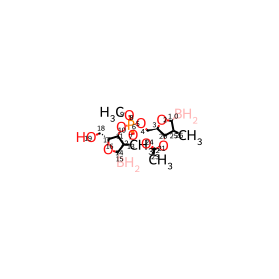 B[C@@H]1O[C@H](COP(=O)(OC)O[C@H]2C(C)[C@H](B)O[C@@H]2CO)[C@@H](OC(C)=O)C1C